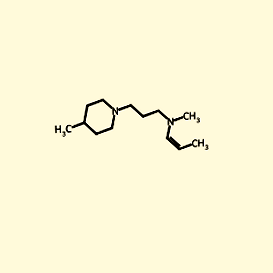 C/C=C\N(C)CCCN1CCC(C)CC1